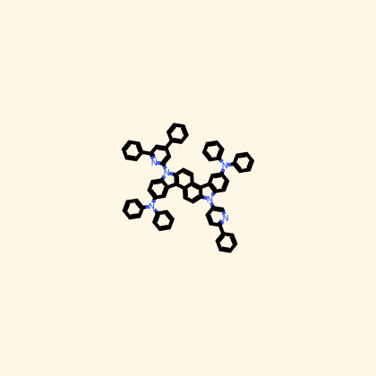 c1ccc(-c2cc(-c3ccccc3)nc(-n3c4ccc(N(c5ccccc5)c5ccccc5)cc4c4c5ccc6c(c5ccc43)c3cc(N(c4ccccc4)c4ccccc4)ccc3n6-c3ccc(-c4ccccc4)nc3)c2)cc1